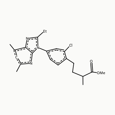 CCc1nc2c(C)cc(C)nc2n1-c1ccc(CCC(C)C(=O)OC)c(Cl)c1